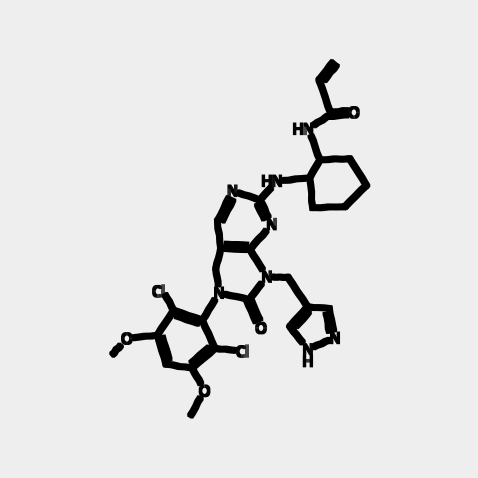 C=CC(=O)NC1CCCCC1Nc1ncc2c(n1)N(Cc1cn[nH]c1)C(=O)N(c1c(Cl)c(OC)cc(OC)c1Cl)C2